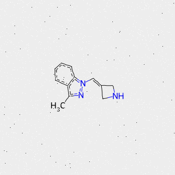 Cc1nn(C=C2CNC2)c2ccccc12